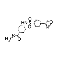 COC(=O)[C@H]1CC[C@H](NS(=O)(=O)c2ccc(-c3cocn3)cc2)CC1